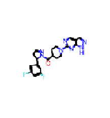 O=C(C1CCN(c2ncc3cn[nH]c3n2)CC1)N1N=CCC1c1cc(F)cc(F)c1